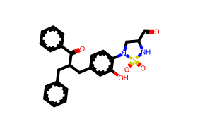 O=CC1CN(c2ccc(CC(Cc3ccccc3)C(=O)c3ccccc3)cc2O)S(=O)(=O)N1